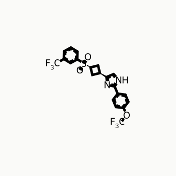 O=S(=O)(c1cccc(C(F)(F)F)c1)[C@H]1C[C@H](c2c[nH]c(-c3ccc(OC(F)(F)F)cc3)n2)C1